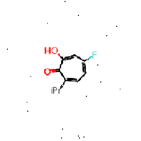 CC(C)c1ccc(F)cc(O)c1=O